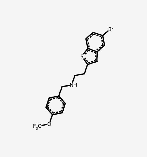 FC(F)(F)Oc1ccc(CNCCc2cc3cc(Br)ccc3s2)cc1